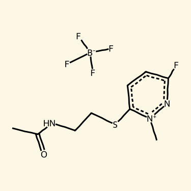 CC(=O)NCCSc1ccc(F)n[n+]1C.F[B-](F)(F)F